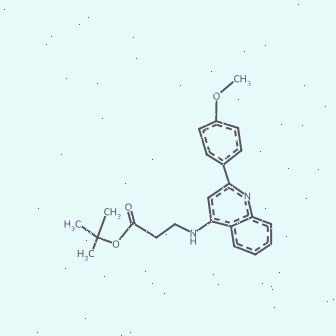 COc1ccc(-c2cc(NCCC(=O)OC(C)(C)C)c3ccccc3n2)cc1